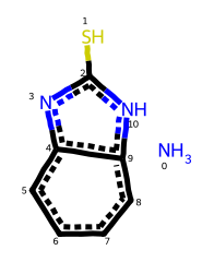 N.Sc1nc2ccccc2[nH]1